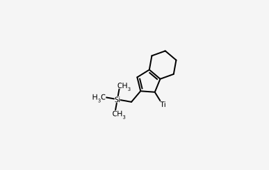 C[Si](C)(C)CC1=CC2=C(CCCC2)[CH]1[Ti]